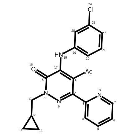 CC(=O)c1c(-c2ccccn2)nn(CC2CC2)c(=O)c1Nc1cccc(Cl)c1